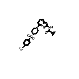 O=C(Nc1nc2cccc(N3CCN(S(=O)(=O)c4ccc(C(F)(F)F)cc4)CC3)n2n1)C1CC1